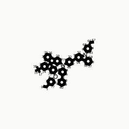 C=Cc1ccc(Oc2ccc(C3(c4ccc(C(C)(C)C)cc4)c4ccccc4-c4ccc(N(c5ccc(-c6ccccc6)cc5)c5ccc(-c6ccc7c(c6)c6ccccc6n7-c6ccc(C=C)cc6)cc5)cc43)cc2)cc1